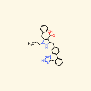 CCCN1NC(Cc2ccc(-c3ccccc3-c3nn[nH]n3)cc2)C(C(=O)O)=C1Cc1ccccc1